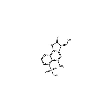 CNS(=O)(=O)c1cccc2c3c(cc([N+](=O)[O-])c12)/C(=N/O)C(=O)N3